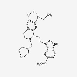 CCOc1cc2c(cc1OC)CCN(CN1CCOCC1)C2CCc1c[nH]c2ccc(OC)cc12